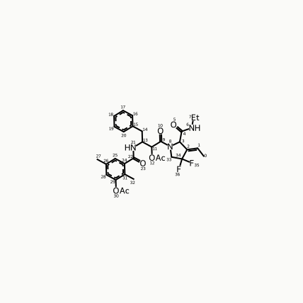 C/C=C1/C(C(=O)NCC)N(C(=O)C(OC(C)=O)C(Cc2ccccc2)NC(=O)c2cc(C)cc(OC(C)=O)c2C)CC1(F)F